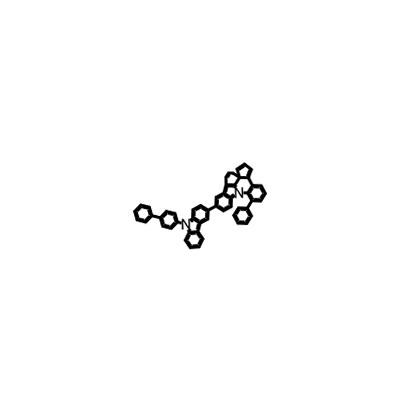 C1=CC23CC=Cc4c2n(c2ccc(-c5ccc6c(c5)c5ccccc5n6-c5ccc(-c6ccccc6)cc5)cc42)-c2c(cccc2-c2ccccc2)C3=C1